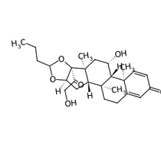 CCCC1O[C@@H]2C[C@H]3[C@]4(C)CCC5=CC(=O)C=C[C@]5(C)[C@H]4[C@@H](O)C[C@]3(C)[C@]2(C(=O)CO)O1